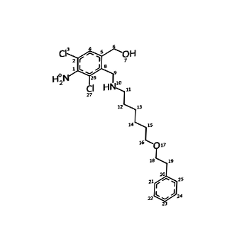 Nc1c(Cl)cc(CO)c(CNCCCCCCOCCc2ccccc2)c1Cl